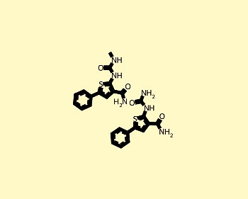 CNC(=O)Nc1sc(-c2ccccc2)cc1C(N)=O.NC(=O)Nc1sc(-c2ccccc2)cc1C(N)=O